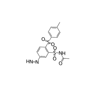 CC(=O)NS(=O)(=O)c1cc(N=N)ccc1S(=O)(=O)c1ccc(C)cc1